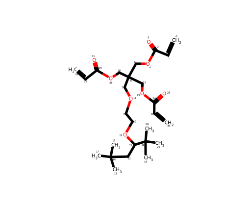 C=CC(=O)OCC(COCCOC(CC(C)(C)C)C(C)(C)C)(COC(=O)C=C)COC(=O)C=C